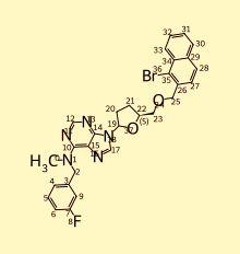 CN(Cc1cccc(F)c1)c1ncnc2c1ncn2C1CC[C@@H](COCc2ccc3ccccc3c2Br)O1